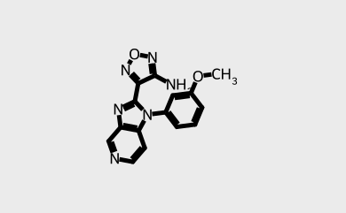 COc1cccc(-n2c(-c3nonc3N)nc3cnccc32)c1